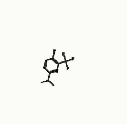 CC(C)c1ccc(F)c(C(F)(F)F)n1